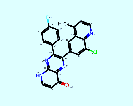 Cc1ccnc2c(Cl)cc(-c3nc4c(=O)cc[nH]c4nc3-c3ccc(F)cc3)cc12